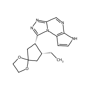 CC[C@@H]1CC2(C[C@@H]1c1nnc3cnc4[nH]ccc4n13)OCCO2